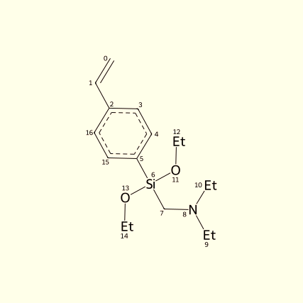 C=Cc1ccc([Si](CN(CC)CC)(OCC)OCC)cc1